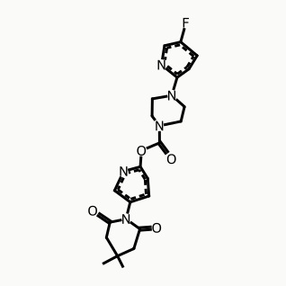 CC1(C)CC(=O)N(c2ccc(OC(=O)N3CCN(c4ccc(F)cn4)CC3)nc2)C(=O)C1